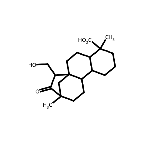 CC12CCC3C4CCCC(C)(C(=O)O)C4CCC3(C1)C(CO)C2=O